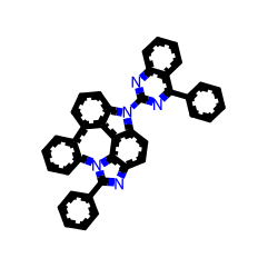 c1ccc(-c2nc(-n3c4cccc5c6ccccc6n6c(-c7ccccc7)nc7ccc3c(c54)c76)nc3ccccc23)cc1